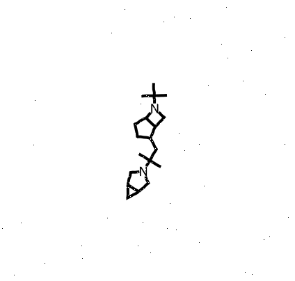 CC(C)(C)N1CC2C(CC(C)(C)N3CC4CC4C3)CCC21